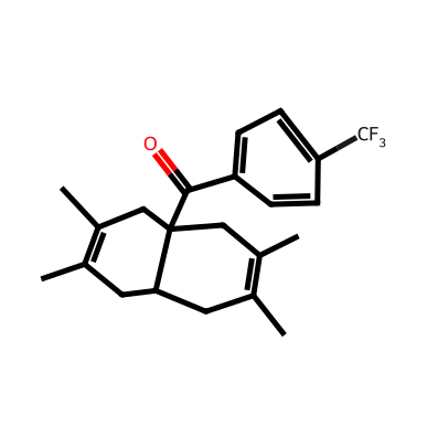 CC1=C(C)CC2(C(=O)c3ccc(C(F)(F)F)cc3)CC(C)=C(C)CC2C1